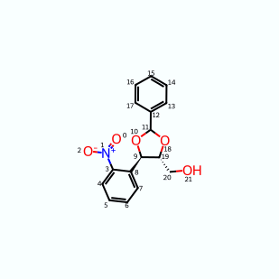 O=[N+]([O-])c1ccccc1[C@H]1OC(c2ccccc2)O[C@@H]1CO